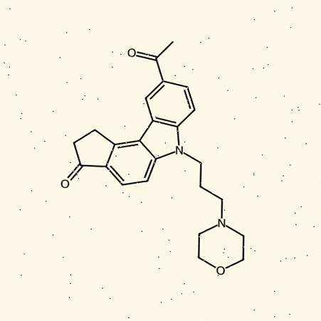 CC(=O)c1ccc2c(c1)c1c3c(ccc1n2CCCN1CCOCC1)C(=O)CC3